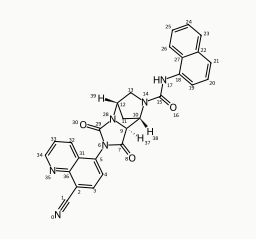 N#Cc1ccc(N2C(=O)[C@@H]3[C@@H]4C[C@@H](CN4C(=O)Nc4cccc5ccccc45)N3C2=O)c2cccnc12